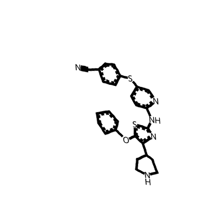 N#Cc1ccc(Sc2ccc(Nc3nc(C4CCNCC4)c(Oc4ccccc4)s3)nc2)cc1